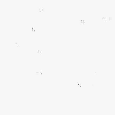 CCc1cc(N2CCNCC2)ccc1Nc1ncc(C(F)F)c(NCCCN2CC=COC2=O)n1